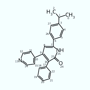 CC(C)c1ccc(-c2cc(-c3ccncc3)c(-c3ccccc3)c(=O)[nH]2)cc1